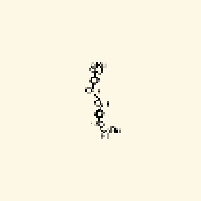 CCCCOC(=O)c1ccc(C(=O)OCCOC(=O)c2ccc(C(=O)OCC(CC)CCCC)cc2)cc1